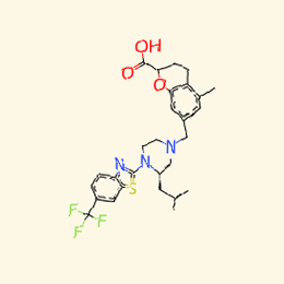 Cc1cc(CN2CCN(c3nc4ccc(C(F)(F)F)cc4s3)[C@H](CC(C)C)C2)cc2c1CCC(C(=O)O)O2